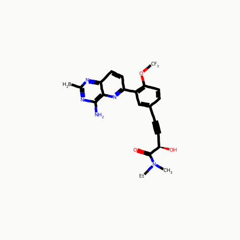 Bc1nc(N)c2nc(-c3cc(C#C[C@@H](O)C(=O)N(C)CC)ccc3OC(F)(F)F)ccc2n1